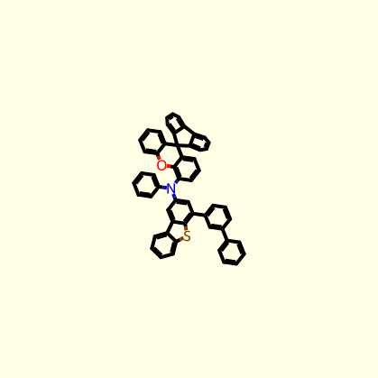 c1ccc(-c2cccc(-c3cc(N(c4ccccc4)c4cccc5c4Oc4ccccc4C54c5ccccc5-c5ccccc54)cc4c3sc3ccccc34)c2)cc1